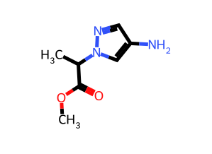 COC(=O)C(C)n1cc(N)cn1